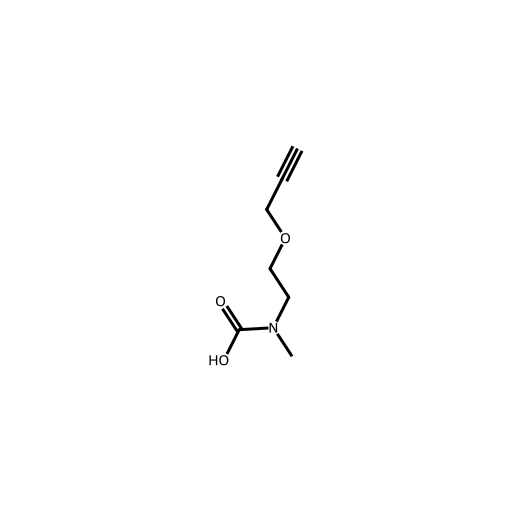 C#CCOCCN(C)C(=O)O